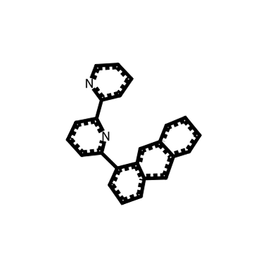 c1ccc(-c2cccc(-c3cccc4cc5ccccc5cc34)n2)nc1